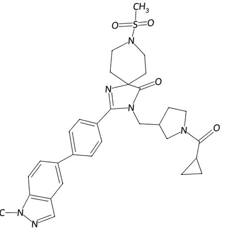 Cn1ncc2cc(-c3ccc(C4=NC5(CCN(S(C)(=O)=O)CC5)C(=O)N4CC4CCN(C(=O)C5CC5)C4)cc3)ccc21